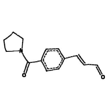 O=CC=Cc1ccc(C(=O)N2CCCC2)cc1